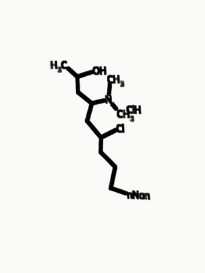 CCCCCCCCCCCCC(Cl)CC(CC(C)O)N(C)C.Cl